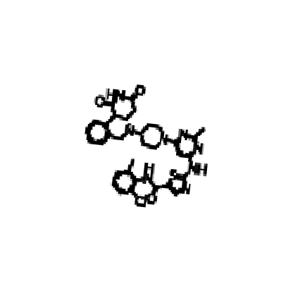 Cc1nc(Nc2ncc(C(=O)Nc3c(C)cccc3Cl)s2)cc(N2CCC(N(C)Cc3ccccc3C3CCC(=O)NC3=O)CC2)n1